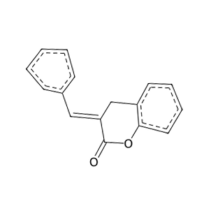 O=C1Oc2ccccc2CC1=Cc1ccccc1